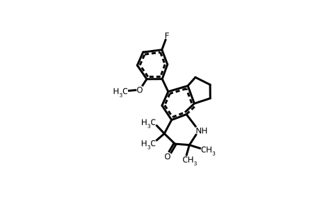 COc1ccc(F)cc1-c1cc2c(c3c1CCC3)NC(C)(C)C(=O)C2(C)C